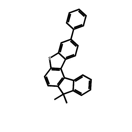 CC1(C)c2ccccc2-c2c1ccc1sc3cc(-c4ccccc4)ccc3c21